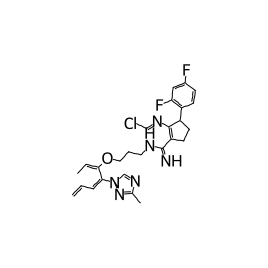 C=C/C=C(\C(=C/C)OCCCNC(=N)C1=C(/N=C/Cl)C(c2ccc(F)cc2F)CC1)n1cnc(C)n1